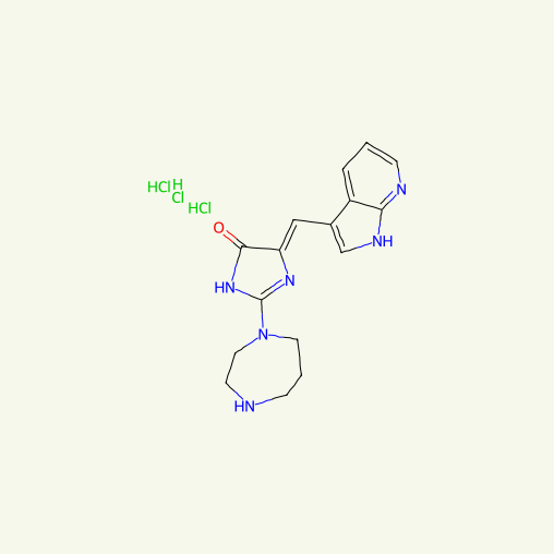 Cl.Cl.Cl.O=C1NC(N2CCCNCC2)=NC1=Cc1c[nH]c2ncccc12